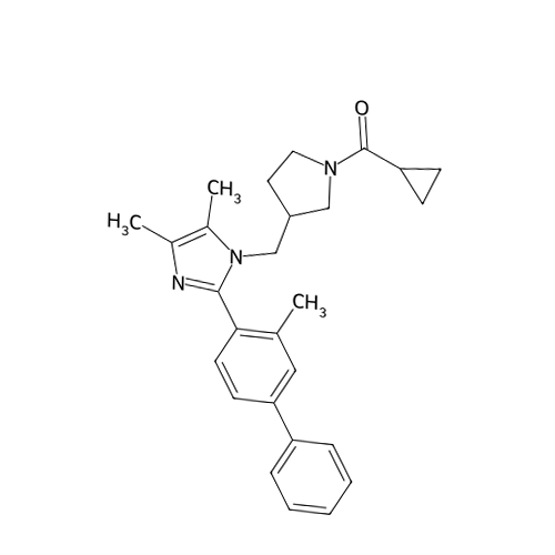 Cc1cc(-c2ccccc2)ccc1-c1nc(C)c(C)n1CC1CCN(C(=O)C2CC2)C1